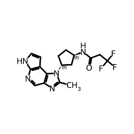 Cc1nc2cnc3[nH]ccc3c2n1[C@@H]1CC[C@@H](NC(=O)CC(F)(F)F)C1